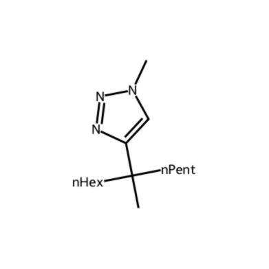 CCCCCCC(C)(CCCCC)c1cn(C)nn1